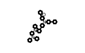 c1ccc(-c2ccc(N(c3ccc(-c4cccc5c4c4ccccc4n5-c4cccc(N(c5ccccc5)c5ccccc5)c4)cc3)c3ccc4c(c3)oc3ccccc34)cc2)cc1